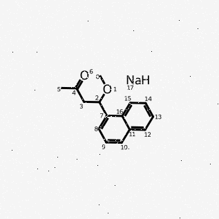 COC(CC(C)=O)c1cccc2ccccc12.[NaH]